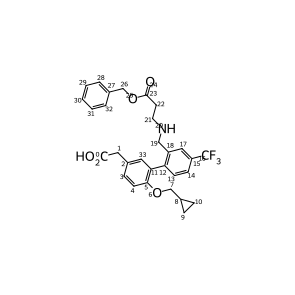 O=C(O)Cc1ccc(OCC2CC2)c(-c2ccc(C(F)(F)F)cc2CNCCC(=O)OCc2ccccc2)c1